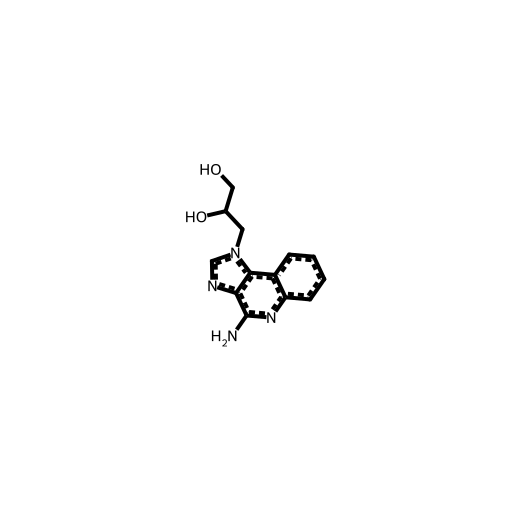 Nc1nc2ccccc2c2c1ncn2CC(O)CO